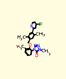 Cc1cc(-c2cc(F)ccn2)c(C)cc1COc1c(C)cccc1-n1nnn(C)c1=O